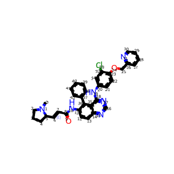 CN1CCCC1/C=C/C(=O)Nc1ccc2ncnc(Nc3ccc(OCc4ccccn4)c(Cl)c3)c2c1-c1ccccc1